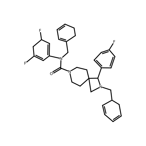 O=C(N1CCC2(CC1)CN(CC1C=CC=CC1)C2c1ccc(F)cc1)N(CC1=CC=CCC1)C1=CC(F)CC(F)=C1